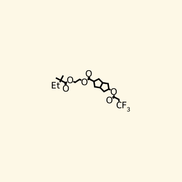 CCC(C)(C)C(=O)OCCOC(=O)C1CC2CC(OC(=O)CC(F)(F)F)CC2C1